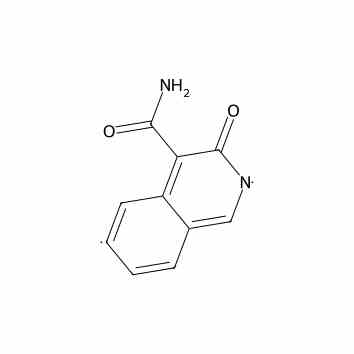 NC(=O)C1=c2c[c]ccc2=C[N]C1=O